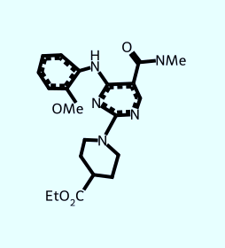 CCOC(=O)C1CCN(c2ncc(C(=O)NC)c(Nc3ccccc3OC)n2)CC1